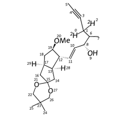 [2H]C([2H])(C#CC)C(C)[C@H](O)/C=C/[C@@H]1[C@H]2CC3(C[C@H]2C[C@H]1OC)OCC(C)(C)CO3